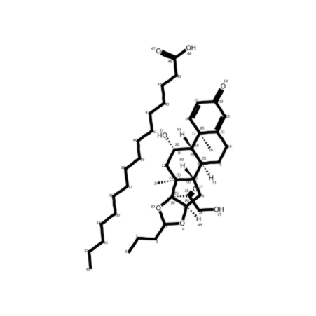 CCCC1O[C@@H]2C[C@H]3[C@@H]4CCC5=CC(=O)C=C[C@]5(C)[C@H]4[C@@H](O)C[C@]3(C)[C@]2(C(=O)CO)O1.CCCCCCCCCCCCCCCC(=O)O